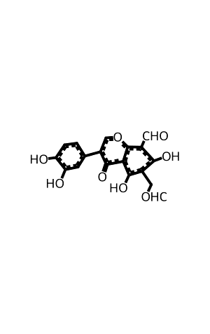 O=CCc1c(O)c(C=O)c2occ(-c3ccc(O)c(O)c3)c(=O)c2c1O